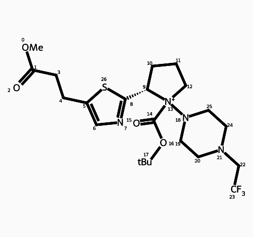 COC(=O)CCc1cnc([C@@H]2CCC[N+]2(C(=O)OC(C)(C)C)N2CCN(CC(F)(F)F)CC2)s1